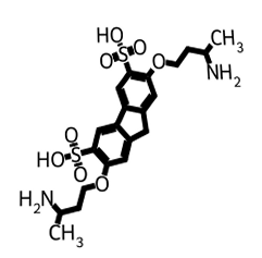 CC(N)CCOc1cc2c(cc1S(=O)(=O)O)-c1cc(S(=O)(=O)O)c(OCCC(C)N)cc1C2